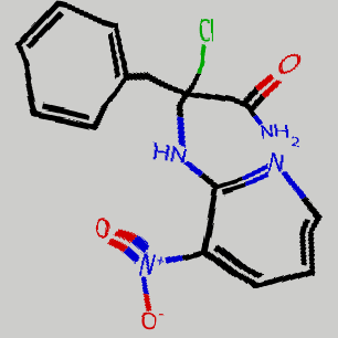 NC(=O)C(Cl)(Nc1ncccc1[N+](=O)[O-])c1ccccc1